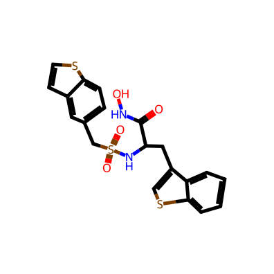 O=C(NO)C(Cc1csc2ccccc12)NS(=O)(=O)Cc1ccc2sccc2c1